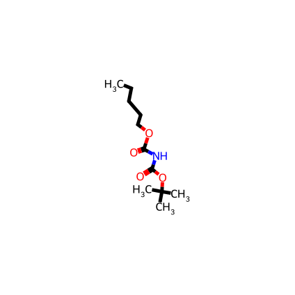 CCCCCOC(=O)NC(=O)OC(C)(C)C